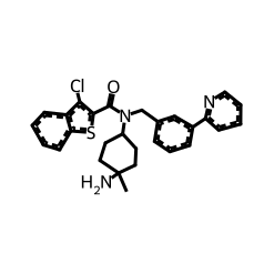 CC1(N)CCC(N(Cc2cccc(-c3ccccn3)c2)C(=O)c2sc3ccccc3c2Cl)CC1